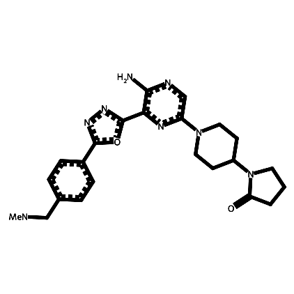 CNCc1ccc(-c2nnc(-c3nc(N4CCC(N5CCCC5=O)CC4)cnc3N)o2)cc1